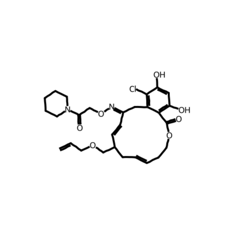 C=CCOCC1/C=C/C(=N\OCC(=O)N2CCCCC2)Cc2c(Cl)c(O)cc(O)c2C(=O)OCC/C=C/C1